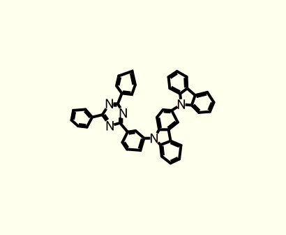 c1ccc(-c2nc(-c3ccccc3)nc(-c3cccc(-n4c5ccccc5c5cc(-n6c7ccccc7c7ccccc76)ccc54)c3)n2)cc1